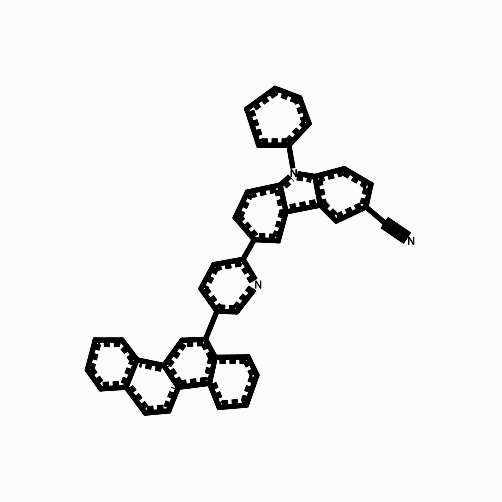 N#Cc1ccc2c(c1)c1cc(-c3ccc(-c4cc5c6ccccc6ccc5c5ccccc45)cn3)ccc1n2-c1ccccc1